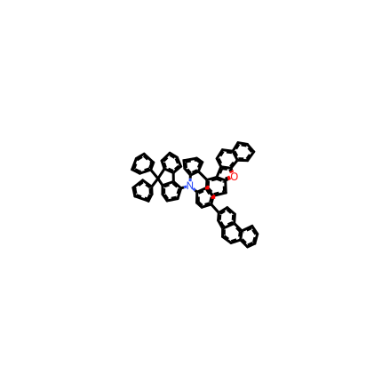 c1ccc(C2(c3ccccc3)c3ccccc3-c3c(N(c4ccc(-c5ccc6c(ccc7ccccc76)c5)cc4)c4ccccc4-c4cccc5oc6c7ccccc7ccc6c45)cccc32)cc1